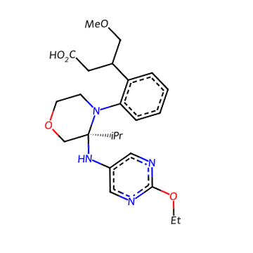 CCOc1ncc(N[C@@]2(C(C)C)COCCN2c2ccccc2C(COC)CC(=O)O)cn1